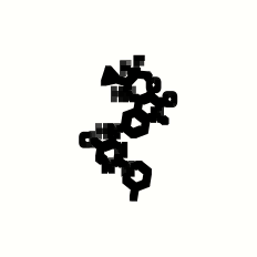 CC1CCCN(c2ncc(Cl)c(Nc3ccc4c(c3)c3c(c(=O)n4C)OCC(F)(F)C(C4CC4)N3)n2)C1